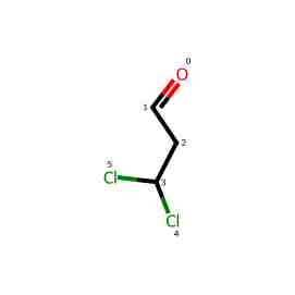 O=CCC(Cl)Cl